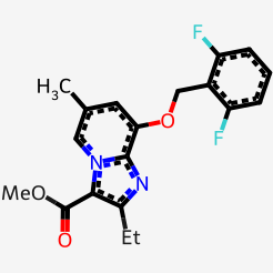 CCc1nc2c(OCc3c(F)cccc3F)cc(C)cn2c1C(=O)OC